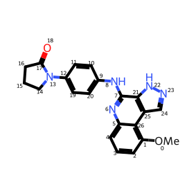 COc1cccc2nc(Nc3ccc(N4CCCC4=O)cc3)c3[nH]ncc3c12